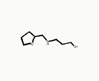 OCCCNCC1CCCO1